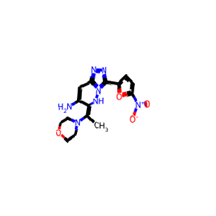 CC(=C1Nn2c(nnc2-c2ccc([N+](=O)[O-])o2)C=C1N)N1CCOCC1